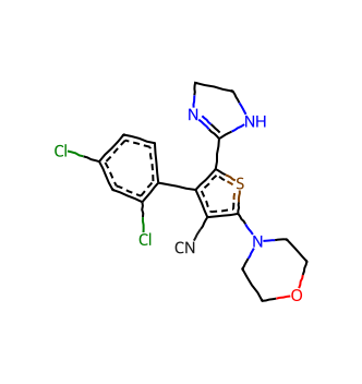 [C-]#[N+]c1c(N2CCOCC2)sc(C2=NCCN2)c1-c1ccc(Cl)cc1Cl